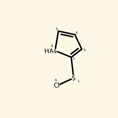 ClSC1=CC=C[AsH]1